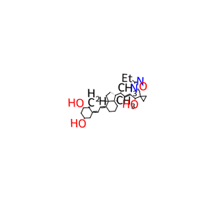 C=C1/C(=C\C=C2/CCC[C@]3(C)[C@@H]([C@H](C)/C=C/[C@H](O)C4(c5nc(CC)no5)CC4)CC[C@@H]23)C[C@@H](O)C[C@@H]1O